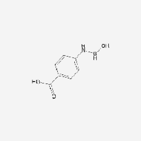 O=C(O)c1ccc(NBO)cc1